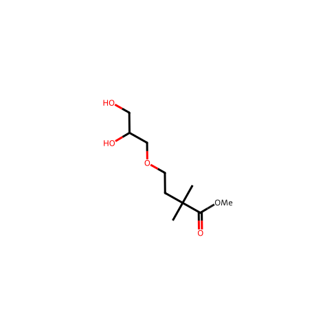 COC(=O)C(C)(C)CCOCC(O)CO